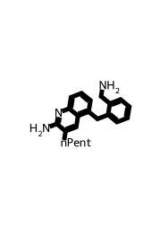 CCCCCc1cc2c(Cc3ccccc3CN)cccc2nc1N